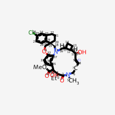 CC[C@H]1C(=O)N(C)CC/C=C/[C@H](O)[C@@H]2CC[C@H]2CN2C[C@@]3(CCCc4cc(Cl)ccc43)COc3ccc(cc32)[C@@]1(O)C(=O)OC